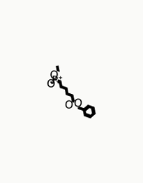 CCO/[P+]([O-])=C/CCCCC(=O)OCc1ccccc1